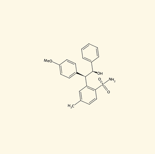 COc1ccc([C@H](c2cc(C)ccc2S(N)(=O)=O)[C@H](O)c2ccccc2)cc1